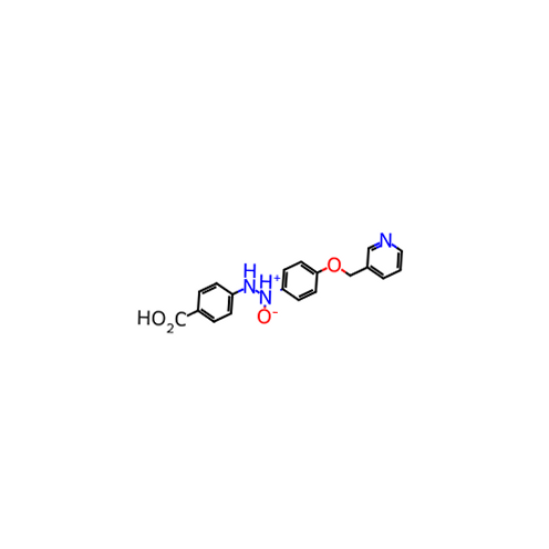 O=C(O)c1ccc(N[NH+]([O-])c2ccc(OCc3cccnc3)cc2)cc1